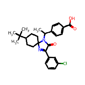 CC(c1ccc(C(=O)O)cc1)N1C(=O)C(c2cccc(Cl)c2)=NC12CCC(C(C)(C)C)CC2